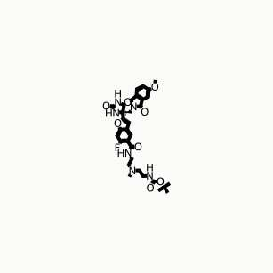 COc1ccc2c(c1)C(=O)N(C[C@@]1(c3cc4cc(C(=O)NCCN(C)CCNC(=O)OC(C)(C)C)c(F)cc4o3)NC(=O)NC1=O)C2